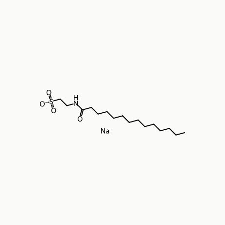 CCCCCCCCCCCCCC(=O)NCCS(=O)(=O)[O-].[Na+]